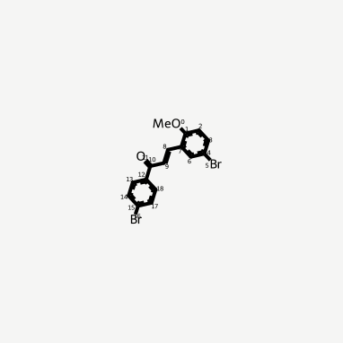 COc1ccc(Br)cc1C=CC(=O)c1ccc(Br)cc1